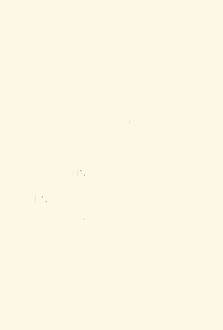 NC1NC2(C=CO1)c1ccccc1Oc1ccccc12